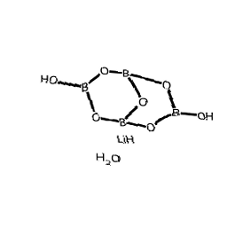 O.OB1OB2OB(O)OB(O1)O2.[LiH]